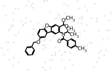 COC(=O)c1cc2oc3ccc(OCc4ccccc4)cc3c2cc1N(C(=O)c1ccc(C)cc1)C(C)C